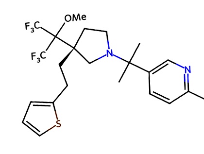 COC(C(F)(F)F)(C(F)(F)F)[C@]1(CCc2cccs2)CCN(C(C)(C)c2ccc(C)nc2)C1